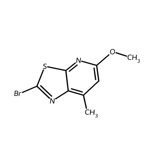 COc1cc(C)c2nc(Br)sc2n1